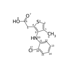 Cc1csc(CC(=O)O)c1Nc1ccccc1Cl